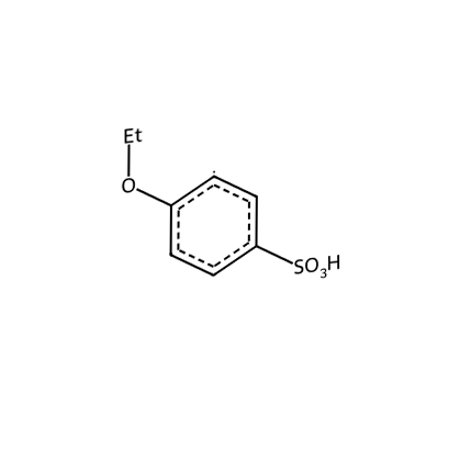 CCOc1[c]cc(S(=O)(=O)O)cc1